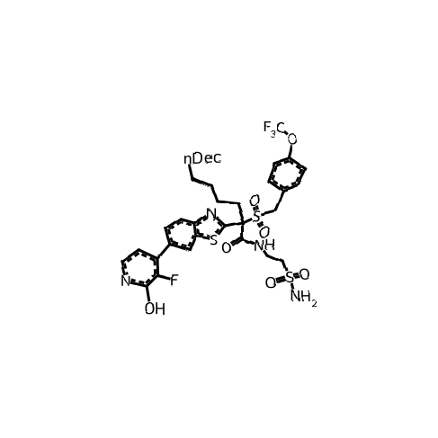 CCCCCCCCCCCCCCC(C(=O)NCCS(N)(=O)=O)(c1nc2ccc(-c3ccnc(O)c3F)cc2s1)S(=O)(=O)Cc1ccc(OC(F)(F)F)cc1